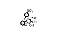 O=[N+]([O-])c1ccc(O[C@]2(c3ccccc3)O[C@H](CO)[C@@H](O)[C@H](O)[C@H]2O)cc1